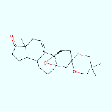 CC1(C)COC2(CC[C@]34OC3(CCC3C4=CCC4(C)C(=O)CCC34)C2)OC1